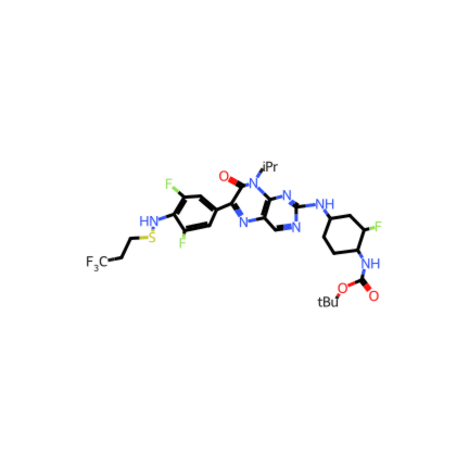 CC(C)n1c(=O)c(-c2cc(F)c(NSCCC(F)(F)F)c(F)c2)nc2cnc(NC3CCC(NC(=O)OC(C)(C)C)C(F)C3)nc21